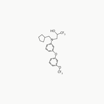 OC(CN(CC1CCCC1)c1cccc(Oc2cccc(OC(F)(F)F)c2)c1)C(F)(F)F